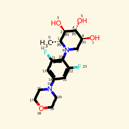 C[C@@H]1[C@@H](O)[C@H](O)[C@@H](O)CN1c1c(F)cc(N2CCOCC2)cc1F